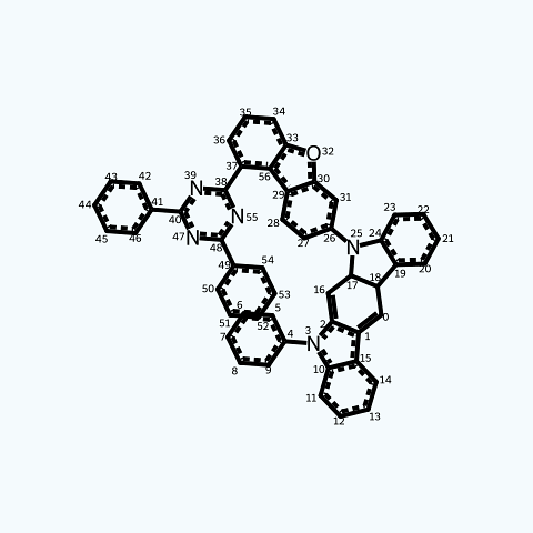 C1=c2c(n(-c3ccccc3)c3ccccc23)=CC2C1c1ccccc1N2c1ccc2c(c1)oc1cccc(-c3nc(-c4ccccc4)nc(-c4ccccc4)n3)c12